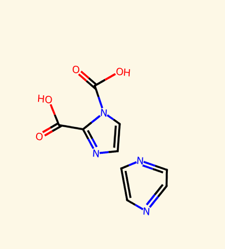 O=C(O)c1nccn1C(=O)O.c1cnccn1